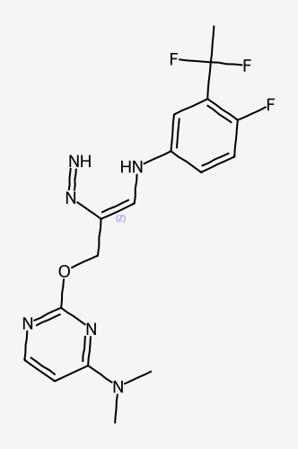 CN(C)c1ccnc(OC/C(=C/Nc2ccc(F)c(C(C)(F)F)c2)N=N)n1